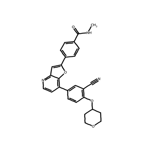 CNC(=O)c1ccc(-c2cc3nccc(-c4ccc(OC5CCOCC5)c(C#N)c4)c3o2)cc1